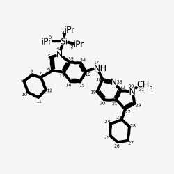 CC(C)[Si](C(C)C)(C(C)C)n1cc(C2CCCCC2)c2ccc(Nc3ccc4c(C5CCCCC5)cn(C)c4n3)cc21